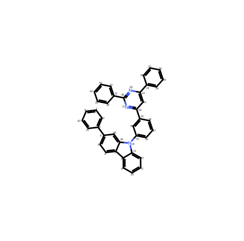 c1ccc(-c2ccc3c4ccccc4n(-c4cccc(-c5cc(-c6ccccc6)nc(-c6ccccc6)n5)c4)c3c2)cc1